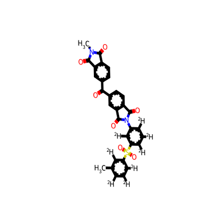 [2H]c1c([2H])c(C)c([2H])c(S(=O)(=O)c2c([2H])c([2H])c([2H])c(N3C(=O)c4ccc(C(=O)c5ccc6c(c5)C(=O)N(C)C6=O)cc4C3=O)c2[2H])c1[2H]